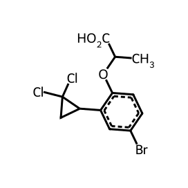 CC(Oc1ccc(Br)cc1C1CC1(Cl)Cl)C(=O)O